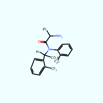 CC(=O)C(C(=O)O)(c1ccccc1C(F)(F)F)N(C(=O)C(N)C(C)C)c1ccccc1C(F)(F)F